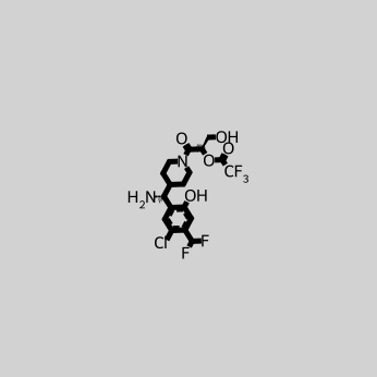 N[C@@H](c1cc(Cl)c(C(F)F)cc1O)C1CCN(C(=O)[C@@H](CO)OC(=O)C(F)(F)F)CC1